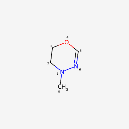 CN1CCOC=N1